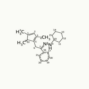 CC1=CC(C)=C(CC(=NNC2CCCCC2)c2ccccc2)C1C